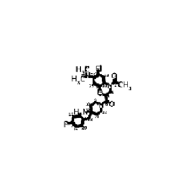 CC(=O)N1CC(C(=O)N2CCC(N)(Cc3ccc(F)cc3)CC2)Oc2cc(N(C)C)c(Cl)cc21